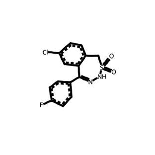 O=S1(=O)Cc2ccc(Cl)cc2C(c2ccc(F)cc2)=NN1